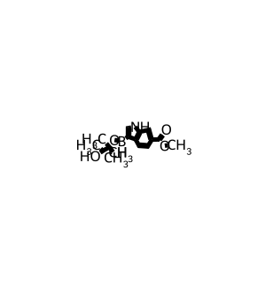 COC(=O)c1ccc2c(BOC(C)(C)C(C)(C)O)c[nH]c2c1